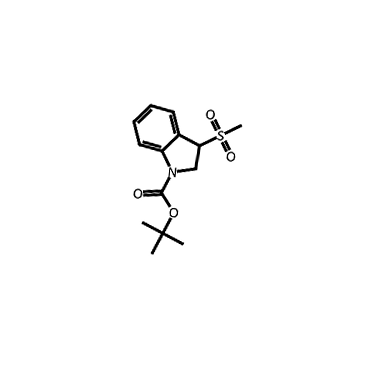 CC(C)(C)OC(=O)N1CC(S(C)(=O)=O)c2ccccc21